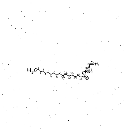 CCCCCCCCCCCCCCCCCC(=O)ONCCCO